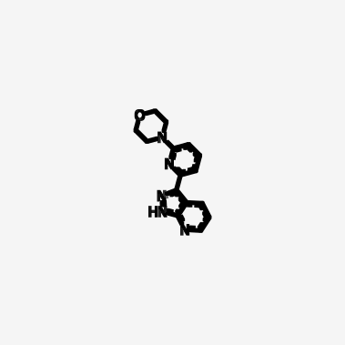 c1cc(-c2n[nH]c3ncccc23)nc(N2CCOCC2)c1